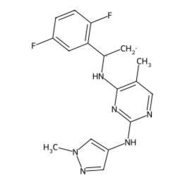 [CH2][C](Nc1nc(Nc2cnn(C)c2)ncc1C)c1cc(F)ccc1F